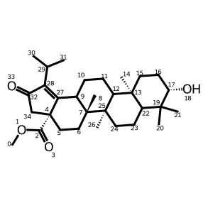 COC(=O)[C@@]12CC[C@]3(C)C(CCC4[C@@]5(C)CC[C@H](O)C(C)(C)C5CC[C@]43C)C1=C(C(C)C)C(=O)C2